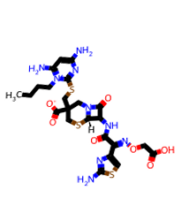 CCCC[n+]1c(N)cc(N)nc1SCC1(C(=O)[O-])CS[C@@H]2C(NC(=O)C(=NOCC(=O)O)c3csc(N)n3)C(=O)N2C1